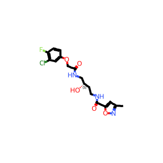 Cc1cc(C(=O)NCC[C@H](O)CNC(=O)COc2ccc(F)c(Cl)c2)on1